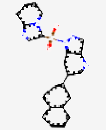 O=S(=O)(c1cnc2ccccn12)n1ncc2ncc(-c3ccc4ccccc4c3)cc21